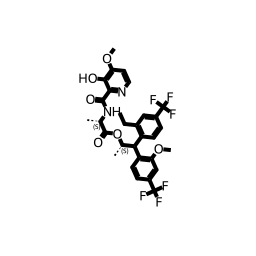 CCc1cc(C(F)(F)F)ccc1C(c1ccc(C(F)(F)F)cc1OC)[C@H](C)OC(=O)[C@H](C)NC(=O)c1nccc(OC)c1O